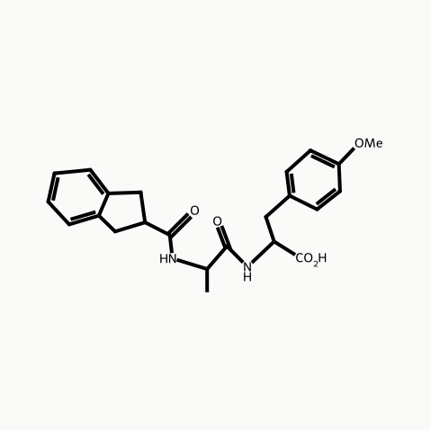 COc1ccc(CC(NC(=O)C(C)NC(=O)C2Cc3ccccc3C2)C(=O)O)cc1